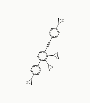 C(#Cc1ccc(-c2ccc(C3CO3)cc2)c(C2CO2)c1C1CO1)c1ccc(C2CO2)cc1